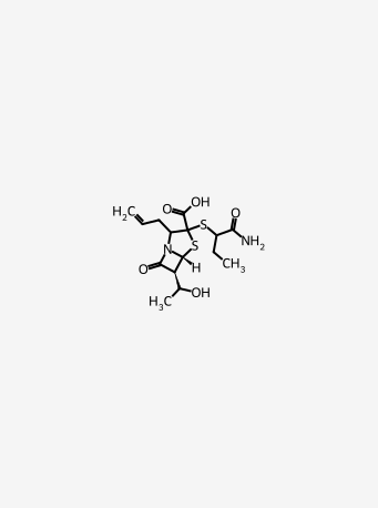 C=CCC1N2C(=O)[C@H](C(C)O)[C@H]2SC1(SC(CC)C(N)=O)C(=O)O